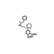 COc1ccc(C2(CCCN(C)C(C)Cc3ccccc3)SCCCS2)cc1OC